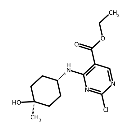 CCOC(=O)c1cnc(Cl)nc1N[C@H]1CC[C@](C)(O)CC1